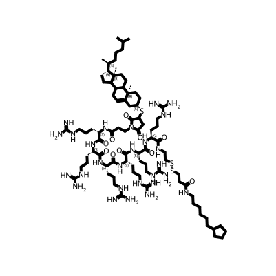 CC(C)CCC[C@H](C)[C@H]1CCC2C3CC=C4C[C@@H](SC5CC(=O)N(CCC(=O)N[C@@H](CCCNC(=N)N)C(=O)N[C@@H](CCCNC(=N)N)C(=O)N[C@@H](CCCNC(=N)N)C(=O)N[C@@H](CCCNC(=N)N)C(=O)N[C@@H](CCCNC(=N)N)C(=O)N[C@@H](CCCNC(=N)N)C(=O)NCCSSCCC(=O)NCCCCCCC6CCCC6)C5=O)CC[C@]4(C)C3CC[C@@]21C